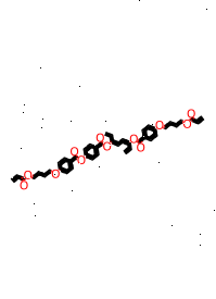 C=CC(=O)OCCCCOc1ccc(C(=O)O/C(C=C)=C/C=C(\CC)OC(=O)c2ccc(OC(=O)c3ccc(OCCCCOC(=O)C=C)cc3)cc2)cc1